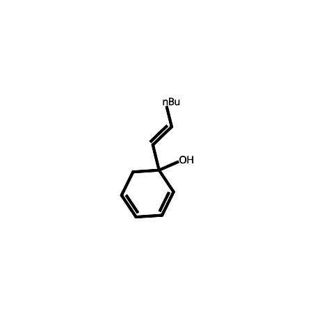 CCCCC=CC1(O)C=CC=CC1